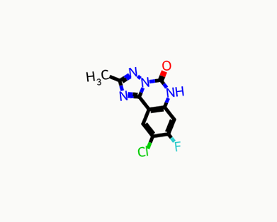 Cc1nc2c3cc(Cl)c(F)cc3[nH]c(=O)n2n1